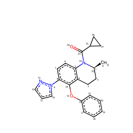 C[C@H]1CCc2c(ccc(-n3cccn3)c2Oc2ccccc2)N1C(=O)C1CC1